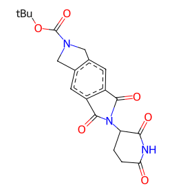 CC(C)(C)OC(=O)N1Cc2cc3c(cc2C1)C(=O)N(C1CCC(=O)NC1=O)C3=O